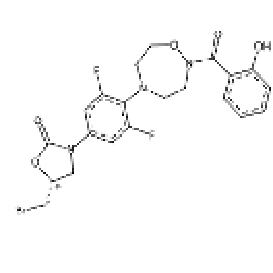 O=C(c1ccccc1O)N1CCN(c2c(F)cc(N3C[C@H](CBr)OC3=O)cc2F)CCO1